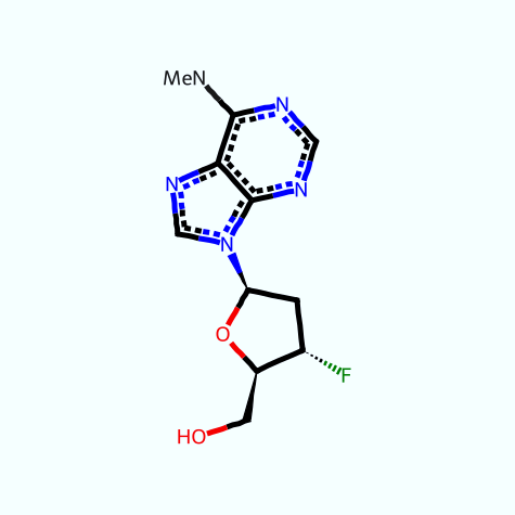 CNc1ncnc2c1ncn2[C@H]1C[C@H](F)[C@@H](CO)O1